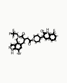 O=C(CC1Cc2cc(Br)c3[nH]ncc3c2CN(CC(F)(F)F)C1=O)N1CCC(c2cc3cccc(F)c3[nH]c2=O)CC1